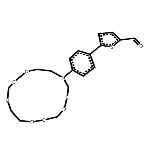 O=Cc1ccc(-c2ccc(N3CCOCCOCCOCCOCC3)cc2)s1